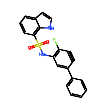 O=S(=O)(Nc1cc(-c2ccccc2)c#cc1F)c1cccc2cc[nH]c12